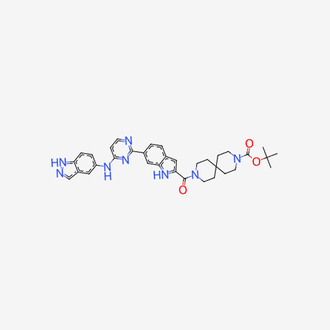 CC(C)(C)OC(=O)N1CCC2(CC1)CCN(C(=O)c1cc3ccc(-c4nccc(Nc5ccc6[nH]ncc6c5)n4)cc3[nH]1)CC2